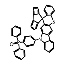 O=P(c1ccccc1)(c1ccccc1)c1ccc(-n2c3ccccc3c3cc4c(cc32)C2(c3ccccc3S4)c3ccccc3-c3ccccc32)cc1